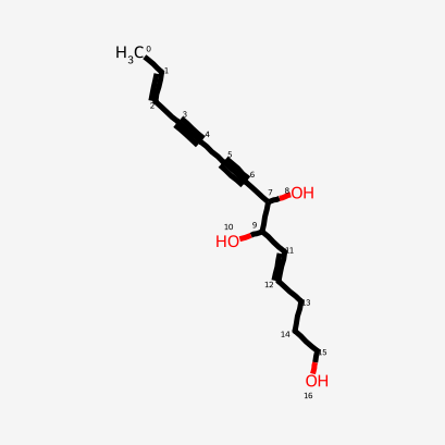 CC=CC#CC#CC(O)C(O)C=CCCCO